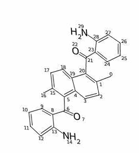 Cc1ccc2c(C(=O)c3ccccc3N)c(C)ccc2c1C(=O)c1ccccc1N